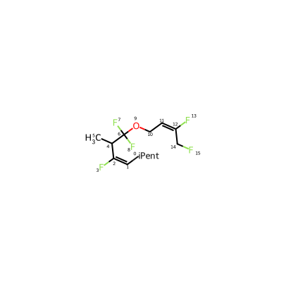 CCCC(C)/C=C(/F)C(C)C(F)(F)OC/C=C(/F)CF